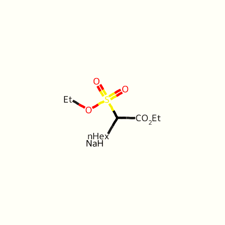 CCCCCCC(C(=O)OCC)S(=O)(=O)OCC.[NaH]